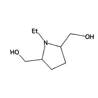 CCN1C(CO)CCC1CO